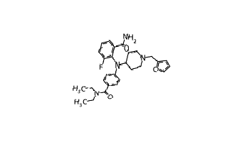 CCN(CC)C(=O)c1ccc(N(c2c(F)cccc2C(N)=O)C2CCN(Cc3ccco3)CC2)cc1